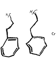 CCCc1ccccc1.CCCc1ccccc1.[Cr]